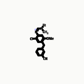 CCN(C)/C=N\c1cc(OC)c(Cc2cccc(C#N)c2)cc1Cl